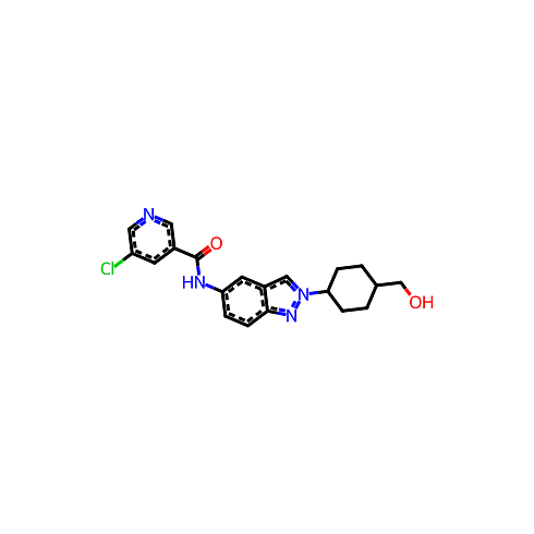 O=C(Nc1ccc2nn(C3CCC(CO)CC3)cc2c1)c1cncc(Cl)c1